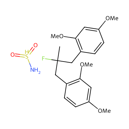 COc1ccc(CC(C)(F)Cc2ccc(OC)cc2OC)c(OC)c1.N[SH](=O)=O